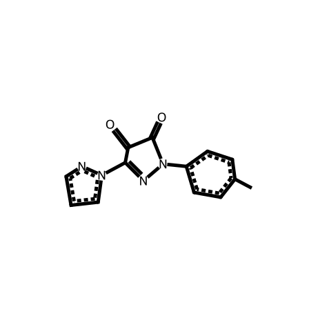 Cc1ccc(N2N=C(n3cccn3)C(=O)C2=O)cc1